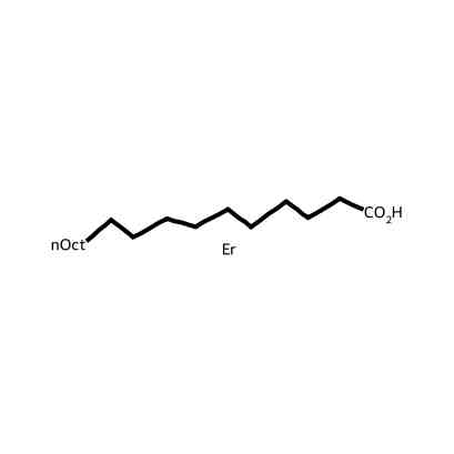 CCCCCCCCCCCCCCCCCC(=O)O.[Er]